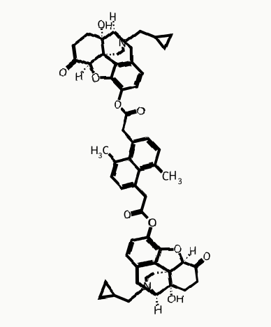 Cc1ccc(CC(=O)Oc2ccc3c4c2O[C@H]2C(=O)CC[C@@]5(O)[C@@H](C3)N(CC3CC3)CC[C@]425)c2c(C)ccc(CC(=O)Oc3ccc4c5c3O[C@H]3C(=O)CC[C@@]6(O)[C@@H](C4)N(CC4CC4)CC[C@]536)c12